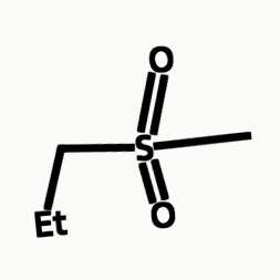 [CH2]CCS(C)(=O)=O